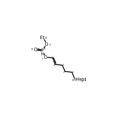 CCCCCCCCCC/C=C/O[PH](=O)OCC